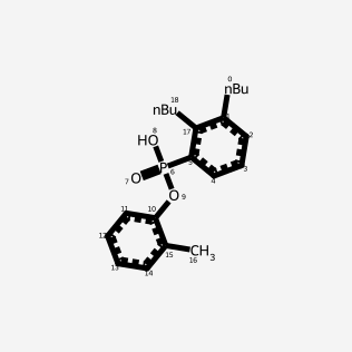 CCCCc1cccc(P(=O)(O)Oc2ccccc2C)c1CCCC